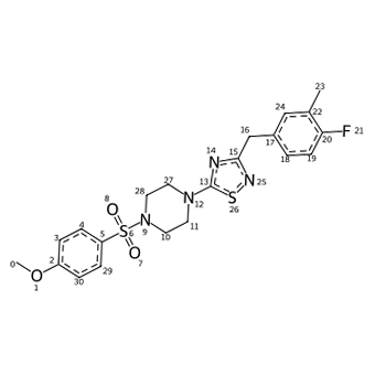 COc1ccc(S(=O)(=O)N2CCN(c3nc(Cc4ccc(F)c(C)c4)ns3)CC2)cc1